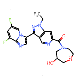 O=C(c1cc2c(cn1)c(-c1cnc3c(F)cc(F)cn13)nn2CC(F)(F)F)N1CCOCC(O)C1